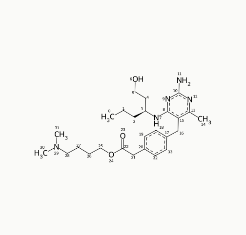 CCC[C@@H](CCO)Nc1nc(N)nc(C)c1Cc1ccc(CC(=O)OCCCCN(C)C)cc1